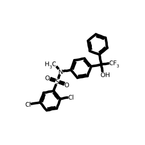 CN(c1ccc(C(O)(c2ccccc2)C(F)(F)F)cc1)S(=O)(=O)c1cc(Cl)ccc1Cl